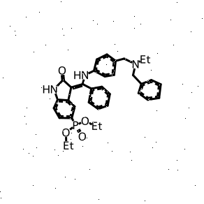 CCOP(=O)(OCC)c1ccc2c(c1)/C(=C(/Nc1ccc(CN(CC)Cc3ccccc3)cc1)c1ccccc1)C(=O)N2